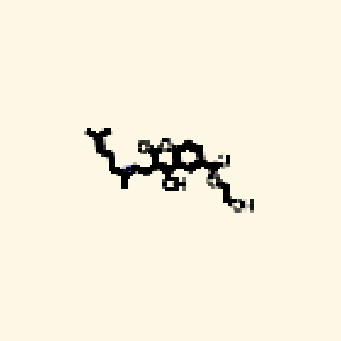 CC(C)=CCC/C(C)=C/Cc1c(O)c2cc(C(=O)OCCO)ccc2oc1=O